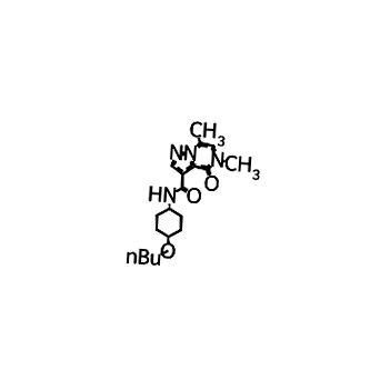 CCCCO[C@H]1CC[C@H](NC(=O)c2cnn3c(C)cn(C)c(=O)c23)CC1